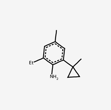 CCc1cc(C)cc(C2(C)CC2)c1N